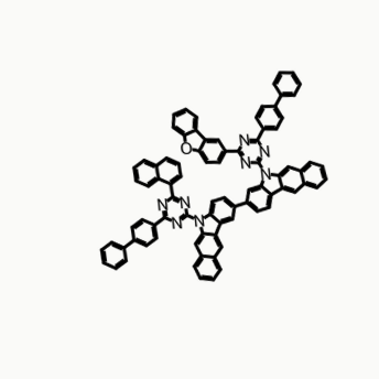 c1ccc(-c2ccc(-c3nc(-c4ccc5oc6ccccc6c5c4)nc(-n4c5cc(-c6ccc7c(c6)c6cc8ccccc8cc6n7-c6nc(-c7ccc(-c8ccccc8)cc7)nc(-c7cccc8ccccc78)n6)ccc5c5cc6ccccc6cc54)n3)cc2)cc1